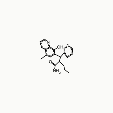 CCCC(C(N)=O)C(c1cccnc1)c1cc(C)c2cccnc2c1O